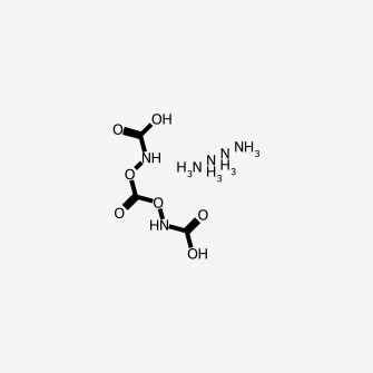 N.N.N.N.O=C(O)NOC(=O)ONC(=O)O